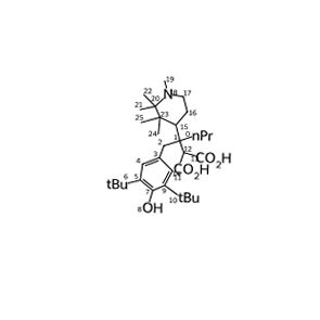 CCCC(Cc1cc(C(C)(C)C)c(O)c(C(C)(C)C)c1)(C(C(=O)O)C(=O)O)C1CCN(C)C(C)(C)C1(C)C